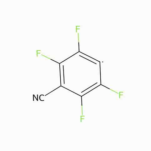 N#Cc1c(F)c(F)[c]c(F)c1F